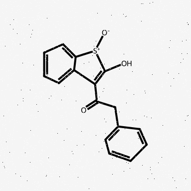 O=C(Cc1ccccc1)c1c(O)[s+]([O-])c2ccccc12